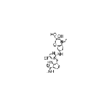 CCN1CC(O)(CO)COc2cc(Nc3ncc(Cl)c(Nc4c(F)cccc4C(=O)NC)n3)ccc21